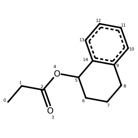 CCC(=O)OC1CCCc2ccccc21